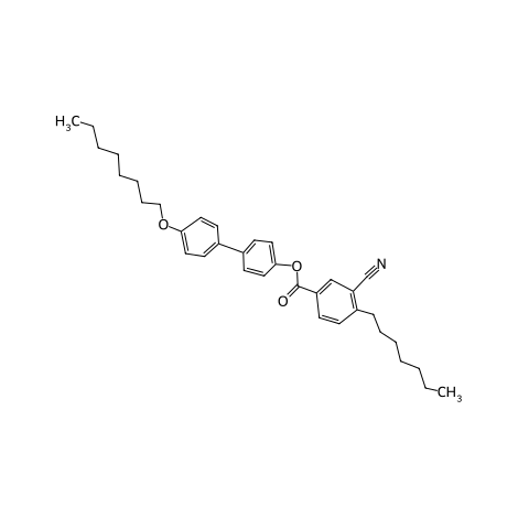 CCCCCCCCOc1ccc(-c2ccc(OC(=O)c3ccc(CCCCCCC)c(C#N)c3)cc2)cc1